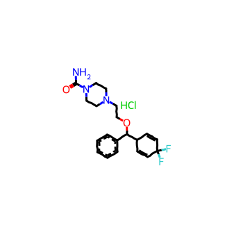 Cl.NC(=O)N1CCN(CCOC(c2ccccc2)C2C=CC(F)(F)C=C2)CC1